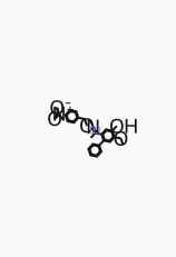 COc1cc(-c2ccccc2)c(/C(C)=N/OCc2ccc([N+](=O)[O-])cc2)cc1O